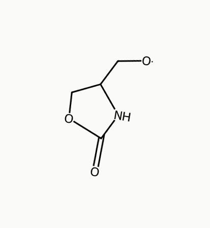 [O]CC1COC(=O)N1